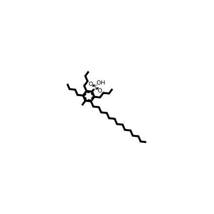 CCCCCCCCCCCCCCc1c(C)c(CCCC)c(CCCC)c(S(=O)(=O)O)c1CCCC